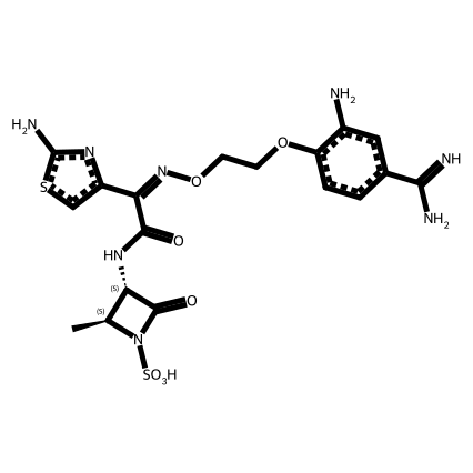 C[C@H]1[C@H](NC(=O)C(=NOCCOc2ccc(C(=N)N)cc2N)c2csc(N)n2)C(=O)N1S(=O)(=O)O